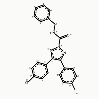 O=C(NCc1ccccc1)n1nc(-c2ccc(Cl)cc2)c(-c2ccc(Cl)cc2)n1